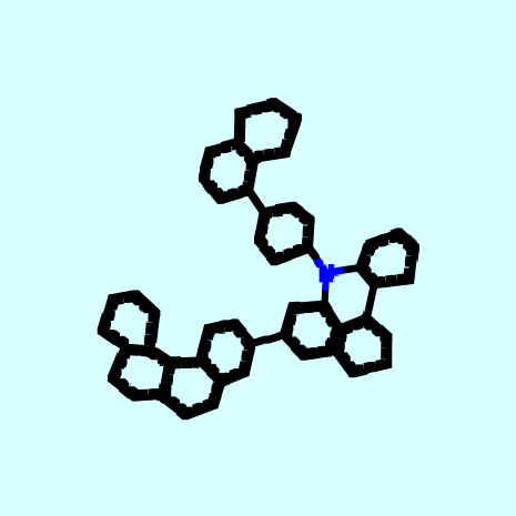 c1ccc(-c2ccccc2N(c2ccc(-c3cccc4ccccc34)cc2)c2cccc(-c3ccc4c(ccc5ccc6ccccc6c54)c3)c2)cc1